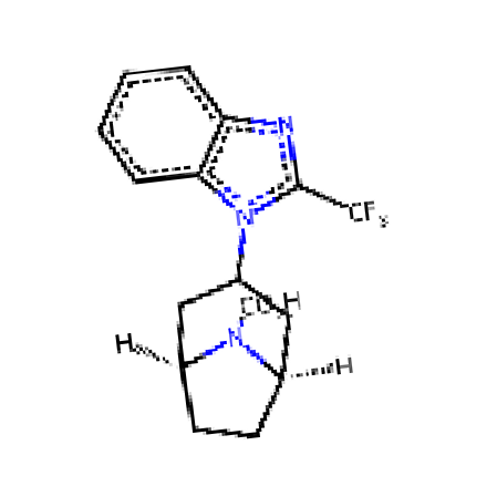 O=C(O)N1[C@@H]2CC[C@H]1CC(n1c(C(F)(F)F)nc3ccccc31)C2